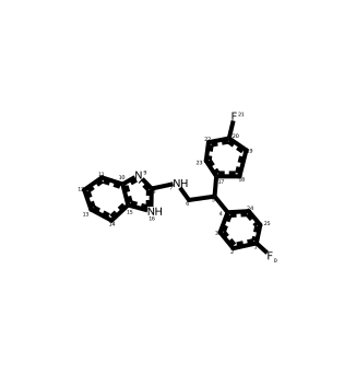 Fc1ccc(C(CNc2nc3ccccc3[nH]2)c2ccc(F)cc2)cc1